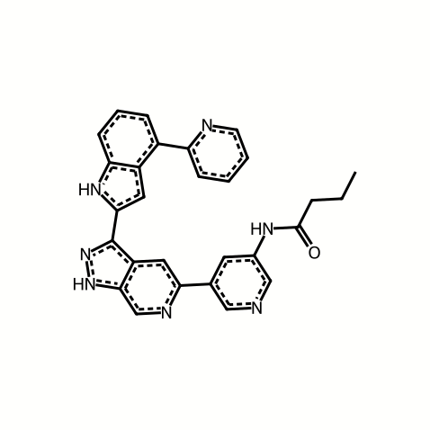 CCCC(=O)Nc1cncc(-c2cc3c(-c4cc5c(-c6ccccn6)cccc5[nH]4)n[nH]c3cn2)c1